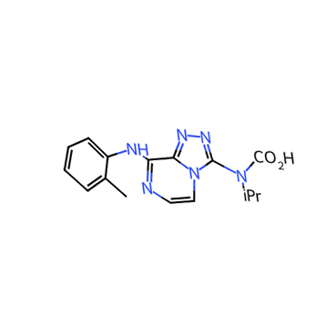 Cc1ccccc1Nc1nccn2c(N(C(=O)O)C(C)C)nnc12